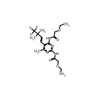 CCOCC(=O)Nc1nc(C)c(C=CC(C)(C)C(F)(F)F)c(NC(=O)COCC)n1